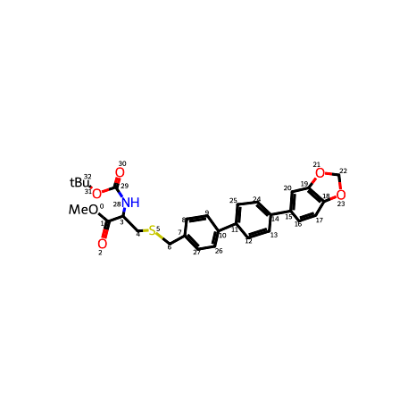 COC(=O)C(CSCc1ccc(-c2ccc(-c3ccc4c(c3)OCO4)cc2)cc1)NC(=O)OC(C)(C)C